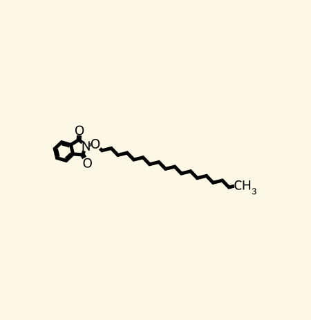 CCCCCCCCCCCCCCCCCCON1C(=O)c2ccccc2C1=O